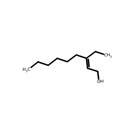 CCCCCCC(=CCO)CC